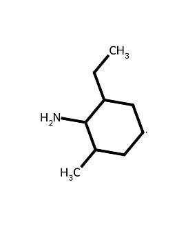 CCC1C[CH]CC(C)C1N